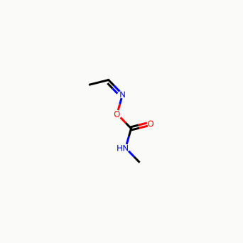 C/C=N\OC(=O)NC